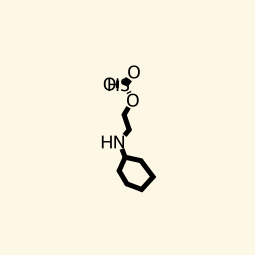 O=[SH](=O)OCCNC1CCCCC1